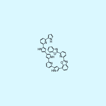 c1cc(-c2ccc[nH]2)nc(-c2cc(-c3c[nH]c(-c4cccc(-c5cc(-c6cccc7nc(-c8cccc(-c9nc%10ccccc%10o9)n8)oc67)c[nH]5)n4)c3)c[nH]2)c1